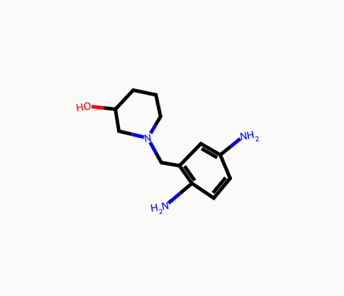 Nc1ccc(N)c(CN2CCCC(O)C2)c1